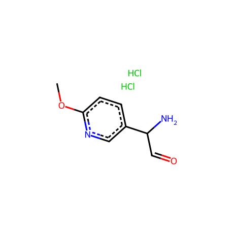 COc1ccc(C(N)C=O)cn1.Cl.Cl